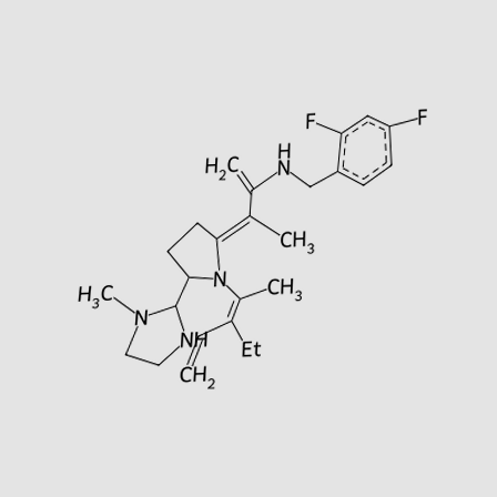 C=C/C(CC)=C(/C)N1/C(=C(\C)C(=C)NCc2ccc(F)cc2F)CCC1C1NCCN1C